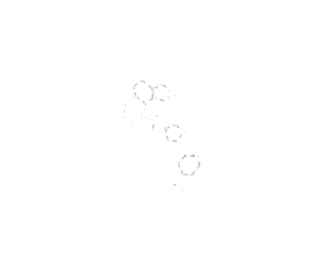 O=S(=O)(c1cnn(-c2cc(C(F)(F)F)ccn2)c1)N1CCCc2ccc3cn[nH]c3c21